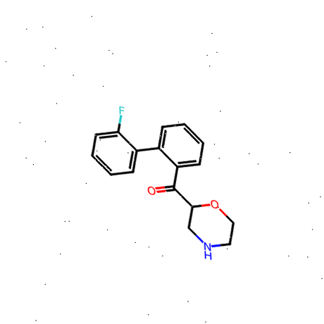 O=C(c1ccccc1-c1ccccc1F)C1CNCCO1